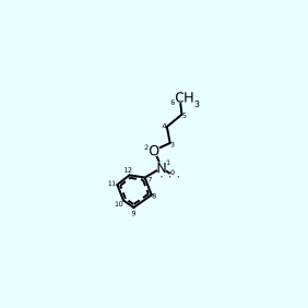 [C]N(OCCCC)c1ccccc1